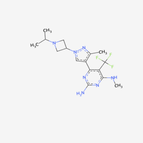 CNc1nc(N)nc(-c2cn(C3CN(C(C)C)C3)nc2C)c1C(F)(F)F